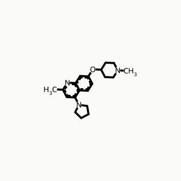 Cc1cc(N2CCCC2)c2ccc(OC3CCN(C)CC3)cc2n1